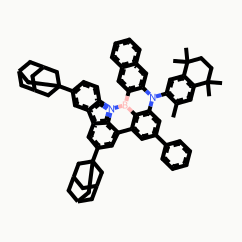 Cc1cc2c(cc1N1c3cc4ccccc4cc3B3c4c(cc(-c5ccccc5)cc41)-c1cc(C45CC6CC(CC(C6)C4)C5)cc4c5cc(C67CC8CC(CC(C8)C6)C7)ccc5n3c14)C(C)(C)CCC2(C)C